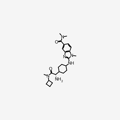 CN(C)C(=O)c1ccc2c(c1)nc(NC1CCC([C@H](N)C(=O)N(C)C3CCC3)CC1)n2C